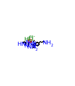 CCn1c(CN(C=O)c2nc3cc[nH]c3nc2N)[n+](CC)c2ccc(CCCN)cc21.Cl.[Cl-]